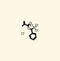 C=C(C)C(=O)OC(c1ccccc1)[N+](CC)(CC)CC.[Cl-]